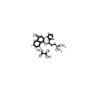 CN(C)CCC(Oc1ccc(Cl)c2ccccc12)c1cccs1.O=C(O)C(=O)O